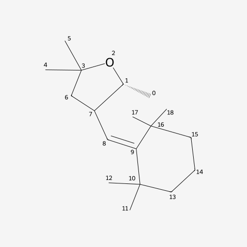 C[C@H]1OC(C)(C)CC1C=C1C(C)(C)CCCC1(C)C